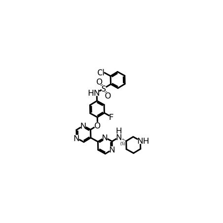 O=S(=O)(Nc1ccc(Oc2ncncc2-c2ccnc(N[C@H]3CCCNC3)n2)c(F)c1)c1ccccc1Cl